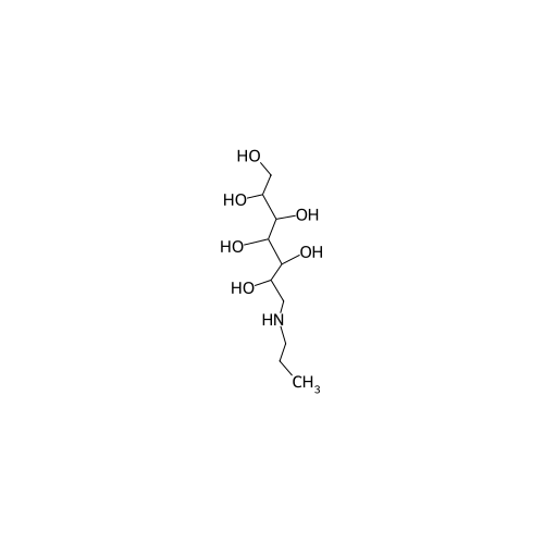 CCCNCC(O)C(O)C(O)C(O)C(O)CO